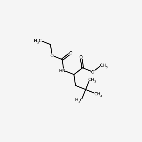 CCOC(=O)NC(CC(C)(C)C)C(=O)OC